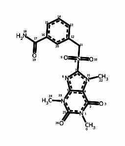 Cn1c(=O)c2c(nc(S(=O)(=O)Cc3cccc(C(N)=O)c3)n2C)n(C)c1=O